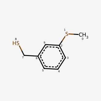 CSc1cccc(CS)c1